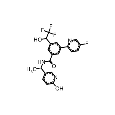 C[C@@H](NC(=O)c1cc(-c2ccc(F)cn2)cc(C(O)C(F)(F)F)c1)c1ccc(O)nc1